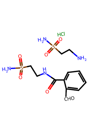 Cl.NCCS(N)(=O)=O.NS(=O)(=O)CCNC(=O)c1ccccc1C=O